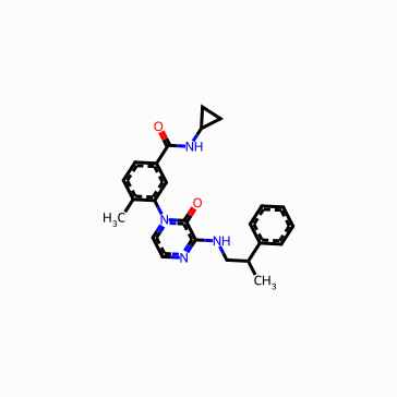 Cc1ccc(C(=O)NC2CC2)cc1-n1ccnc(NCC(C)c2ccccc2)c1=O